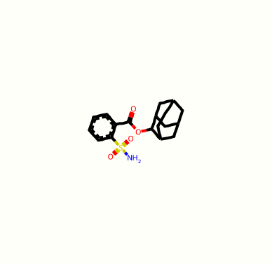 NS(=O)(=O)c1ccccc1C(=O)OC1C2CC3CC(C2)CC1C3